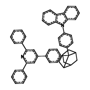 c1ccc(-c2cc(-c3ccc(C4(c5ccc(-n6c7ccccc7c7ccccc76)cc5)C5CC6CC(C5)C4C6)cc3)cc(-c3ccccc3)n2)cc1